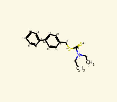 CCN(CC)C(=S)SCc1ccc(-c2ccccc2)cc1